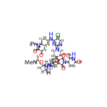 CNC(=O)COc1cc2cc(Nc3nc(N4CCC(OC5CC(N6C7CC[C@@H]6CN(c6ccc8c(c6)C(=O)N([C@@H]6CCC(=O)NC6=O)C8=O)C7)C5)CC4)ncc3Cl)ccc2n(C(C)C)c1=O